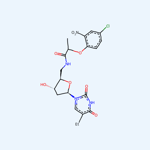 CCc1cn([C@H]2C[C@H](O)[C@@H](CNC(=O)C(C)Oc3ccc(Cl)cc3[N+](=O)[O-])O2)c(=O)[nH]c1=O